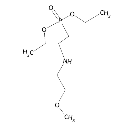 CCOP(=O)(CCNCCOC)OCC